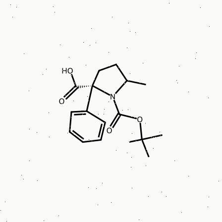 CC1CC[C@](C(=O)O)(c2ccccc2)N1C(=O)OC(C)(C)C